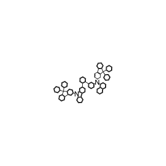 C1=CC(N(c2cccc(-c3ccccc3-c3ccc4c5ccccc5n(-c5ccc6c(c5)-c5ccccc5C6(c5ccccc5)c5ccccc5)c4c3)c2)c2cccc3ccccc23)CC2=C1c1ccccc1C2(c1ccccc1)c1ccccc1